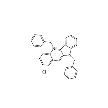 [Cl-].c1ccc(Cn2c3ccccc3c3c2cc2ccccc2[n+]3Cc2ccccc2)cc1